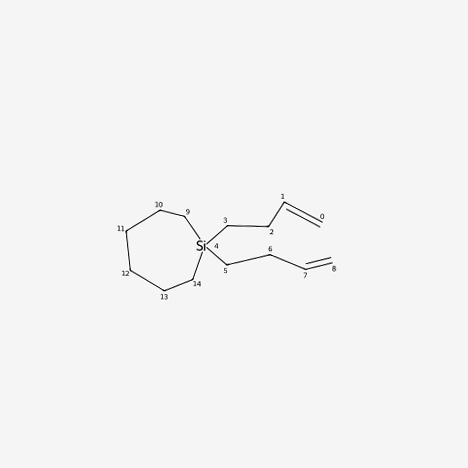 C=CCC[Si]1(CCC=C)CCCCCC1